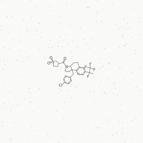 CC(F)(c1ccc2c(c1)CCC1N(C(=O)C3CCS(=O)(=O)C3)CCC21Cc1ccc(Cl)cc1)C(F)(F)F